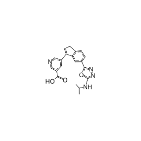 CC(C)Nc1nnc(-c2ccc3c(c2)C(c2cncc(C(=O)O)c2)=CC3)o1